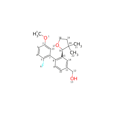 COc1ccc(F)c(-c2ccc(CO)cc2[C@H]2OCCC2(C)C)c1